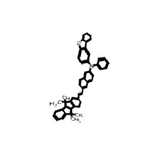 CC1(C)C2=C(c3ccccc31)C(C)(C)c1cc(/C=C/c3ccc4cc(N(c5ccccc5)c5ccc6oc7ccccc7c6c5)ccc4c3)ccc12